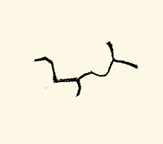 CCC=C(C)CCC(C)C